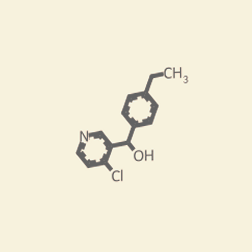 CCc1ccc(C(O)c2cnccc2Cl)cc1